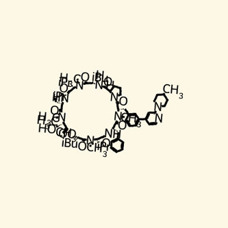 CC[C@H](C)[C@@H]1NC(=O)[C@@H]2CCCN2C(=O)[C@H](Cc2cccc(-c3ccnc(N4CCC(C)CC4)c3)c2)N(C)C(=O)[C@H](Cc2ccccc2)NC(=O)[C@H](C(C)C)N(C)C(=O)[C@@H]([C@@H](C)CC)OC(=O)[C@H](C(C)(C)O)N(C)C(=O)[C@H](CC(C)C)NC(=O)[C@H](C(C)C)N(C)C1=O